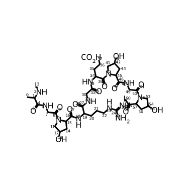 CC(NI)C(=O)NCC(=O)N1CC(O)CC1C(=O)NC(CCCNC(=N)N)C(=O)NCC(=O)NC(CCC(=O)O)C(=O)N1CC(O)CC1C(=O)NCC(=O)N1CC(O)CC1C(=O)I